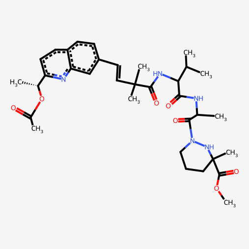 COC(=O)C1(C)CCCN(C(=O)C(C)NC(=O)C(NC(=O)C(C)(C)C=Cc2ccc3ccc([C@@H](C)OC(C)=O)nc3c2)C(C)C)N1